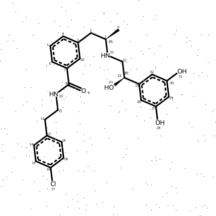 C[C@H](Cc1cccc(C(=O)NCCc2ccc(Cl)cc2)c1)NC[C@H](O)c1cc(O)cc(O)c1